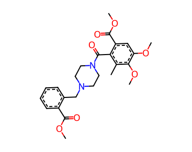 COC(=O)c1ccccc1CN1CCN(C(=O)c2c(C(=O)OC)cc(OC)c(OC)c2C)CC1